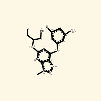 CCC(CO)Nc1nc(Nc2cc(N)cc(Cl)c2)c2nnn(C)c2n1